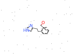 O=Cc1ccccc1CCc1c[nH]cn1